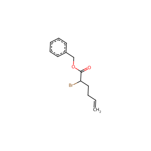 C=CCCC(Br)C(=O)OCc1ccccc1